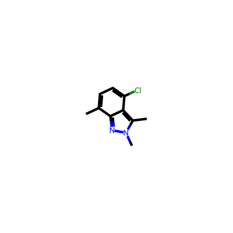 Cc1ccc(Cl)c2c(C)n(C)nc12